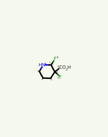 O=C(O)C1(F)CCCNC1F